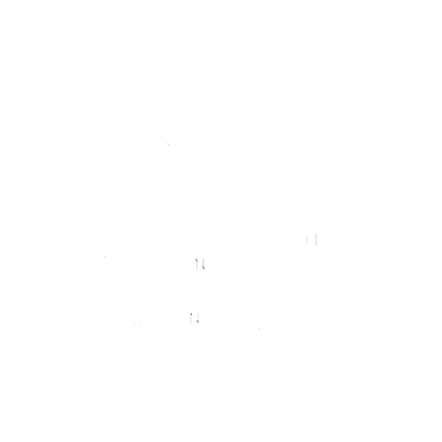 Clc1cccc2c1c1ccc3ccccc3c1n1c3ccccc3nc21